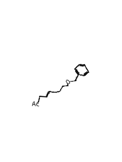 CC(=O)CCCCCCOCc1ccccc1